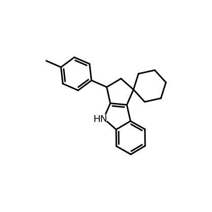 Cc1ccc(C2CC3(CCCCC3)c3c2[nH]c2ccccc32)cc1